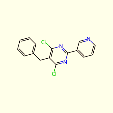 Clc1nc(-c2cccnc2)nc(Cl)c1Cc1ccccc1